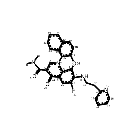 CN(C)C(=O)c1cn2c3c(c(NCCc4ccccn4)c(F)cc3c1=O)Oc1ccc3ccccc3c1-2